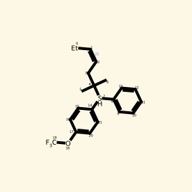 CC/C=C\CC(C)(C)[SH](c1ccccc1)c1ccc(OC(F)(F)F)cc1